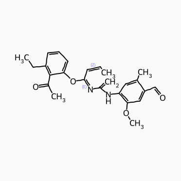 C=C(/N=C(\C=C/C)Oc1cccc(CC)c1C(C)=O)Nc1cc(C)c(C=O)cc1OC